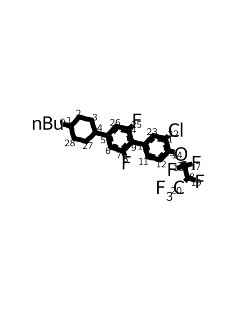 CCCCC1CCC(c2cc(F)c(-c3ccc(OC(F)(F)C(F)C(F)(F)F)c(Cl)c3)c(F)c2)CC1